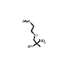 CCCC(C)(CNCCNC)[N+](=O)[O-]